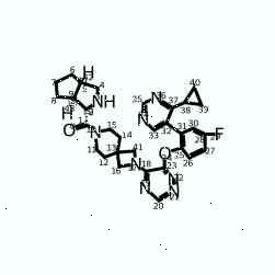 O=C([C@H]1NC[C@@H]2CCC[C@@H]21)N1CCC2(CC1)CN(c1ncnnc1Oc1ccc(F)cc1-c1cncnc1C1CC1)C2